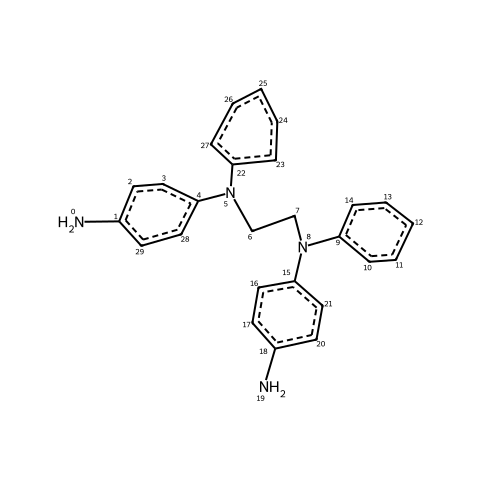 Nc1ccc(N(CCN(c2ccccc2)c2ccc(N)cc2)c2ccccc2)cc1